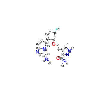 Cc1c(CCOc2cc(F)ccc2-c2ccc3ncc(CN(C)C)n3c2)c(C(=O)N(C)C)nn1C